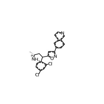 C[C@@H](N)CC(c1cc(-c2ccc3cnccc3c2)no1)c1ccc(Cl)cc1Cl